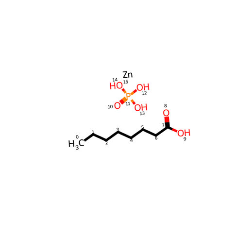 CCCCCCCC(=O)O.O=P(O)(O)O.[Zn]